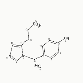 Cl.N#Cc1ccc(Cn2cncc2CCC(=O)O)cc1